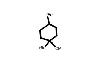 CC(C)(C)C1CCC(C#N)(C(C)(C)C)CC1